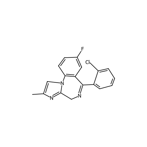 Cc1cn2c(n1)CN=C(c1ccccc1Cl)c1cc(F)ccc1-2